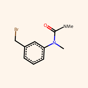 CNC(=O)N(C)c1cccc(CBr)c1